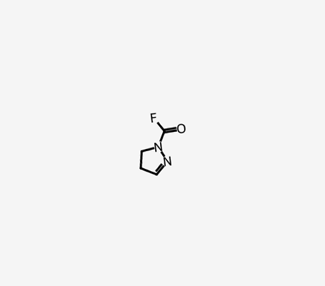 O=C(F)N1CCC=N1